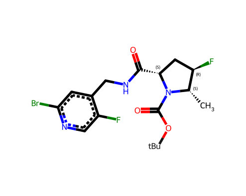 C[C@H]1[C@H](F)C[C@@H](C(=O)NCc2cc(Br)ncc2F)N1C(=O)OC(C)(C)C